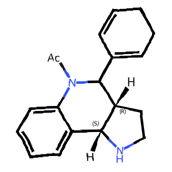 CC(=O)N1c2ccccc2[C@H]2NCC[C@H]2C1C1=CCCC=C1